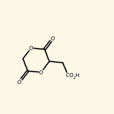 O=C(O)CC1OC(=O)COC1=O